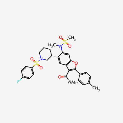 CNC(=O)c1c(-c2ccc(C)cc2)oc2cc(N(C)S(C)(=O)=O)c([C@H]3CCCN(S(=O)(=O)c4ccc(F)cc4)C3)cc12